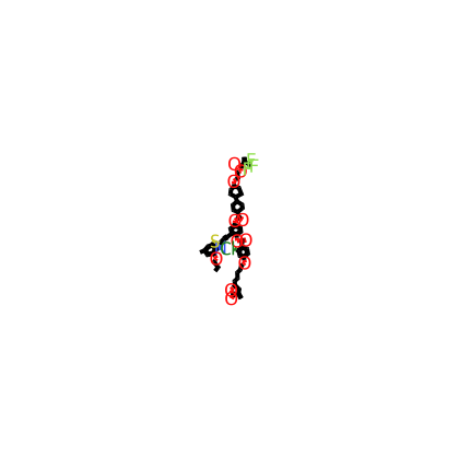 C=C1CC(CCCCCOc2ccc(C(=O)Oc3ccc(OC(=O)C4CCC(C5CCC(OCCOC(=O)C(=C)C(F)(F)F)CC5)CC4)cc3C#Cc3nc4c(OCCC)cc(C)cc4s3)c(Cl)c2)OC1=O